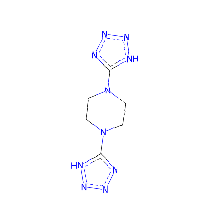 C1CN(c2nnn[nH]2)CCN1c1nnn[nH]1